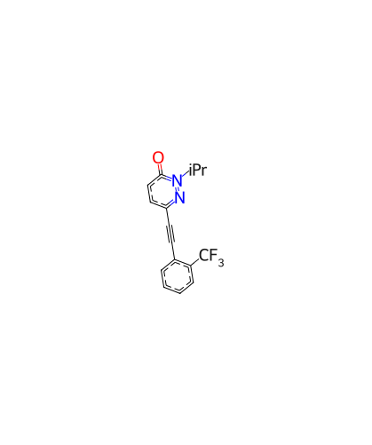 CC(C)n1nc(C#Cc2ccccc2C(F)(F)F)ccc1=O